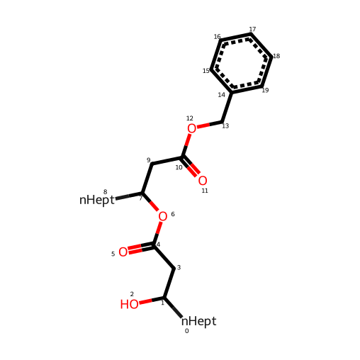 CCCCCCCC(O)CC(=O)OC(CCCCCCC)CC(=O)OCc1ccccc1